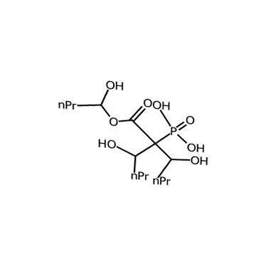 CCCC(O)OC(=O)C(C(O)CCC)(C(O)CCC)P(=O)(O)O